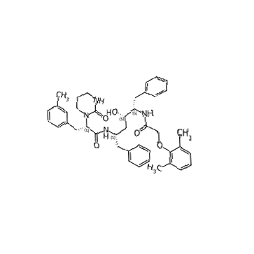 Cc1cccc(C[C@@H](C(=O)N[C@@H](Cc2ccccc2)C[C@H](O)[C@H](Cc2ccccc2)NC(=O)COc2c(C)cccc2C)N2CCCNC2=O)c1